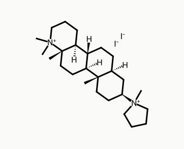 C[C@]12CC[C@H]([N+]3(C)CCCC3)C[C@@H]1CC[C@@H]1[C@@H]2CC[C@@]2(C)[C@H]1CCC[N+]2(C)C.[I-].[I-]